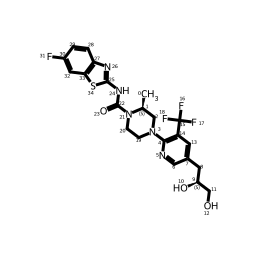 C[C@H]1CN(c2ncc(C[C@H](O)CO)cc2C(F)(F)F)CCN1C(=O)Nc1nc2ccc(F)cc2s1